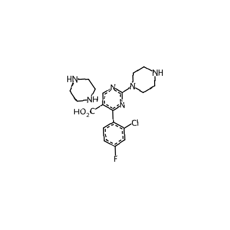 C1CNCCN1.O=C(O)c1cnc(N2CCNCC2)nc1-c1ccc(F)cc1Cl